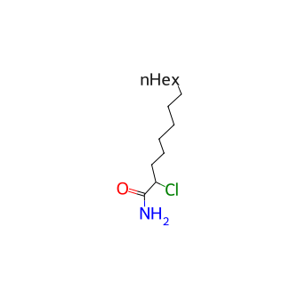 CCCCCCCCCCCCC(Cl)C(N)=O